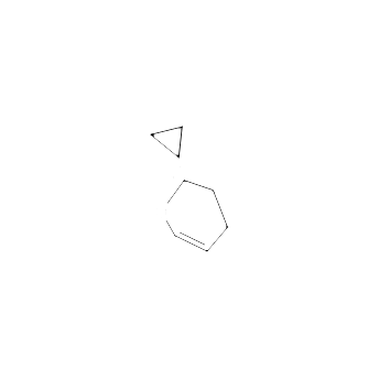 C1=CO[C@H](C2CC2)CC1